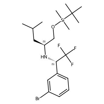 CC(C)C[C@@H](CO[Si](C)(C)C(C)(C)C)N[C@@H](c1cccc(Br)c1)C(F)(F)F